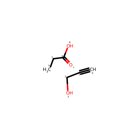 C#CCO.CCC(=O)O